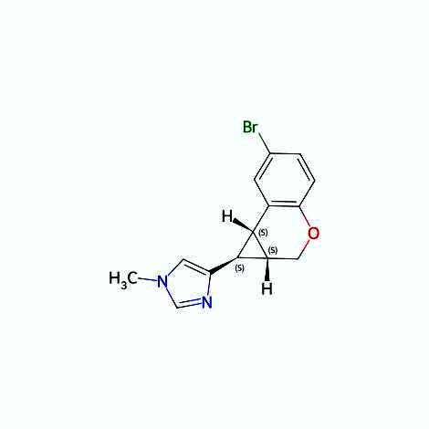 Cn1cnc([C@@H]2[C@H]3COc4ccc(Br)cc4[C@H]32)c1